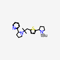 CC(C)(C)N1CCCC1c1ccc(CC(C)(C)N2CCCC2c2ccccn2)s1